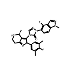 Cc1cc(-n2nc3c(c2-n2cnn(-c4ccc5c(cnn5C)c4F)c2=O)[C@H](C)NCC3)cc(C)c1F